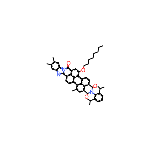 CCCCCCCCOc1cc2c(=O)n3c4cc(C)c(C)cc4nc3c3ccc4c5c(C)cc6c7c(ccc(c1c4c23)c75)C(=O)N(c1c(C(C)C)cccc1C(C)C)C6=O